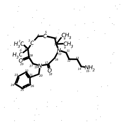 CC1(C)CCCCC(C)(C)N(CCCCN)CC(=O)N(Cc2ccccc2)CC1=O